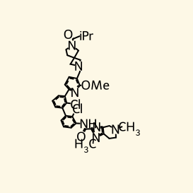 COc1nc(-c2cccc(-c3cccc(NC(=O)c4nc5c(n4C)CCN(C)C5)c3Cl)c2Cl)ccc1CN1CC2(CCN(C(=O)C(C)C)C2)C1